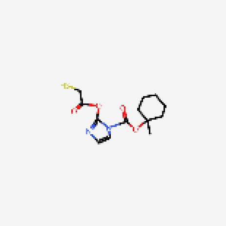 CC1(OC(=O)n2ccnc2OC(=O)CS)CCCCC1